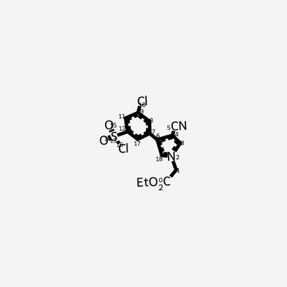 CCOC(=O)Cn1cc(C#N)c(-c2cc(Cl)cc(S(=O)(=O)Cl)c2)c1